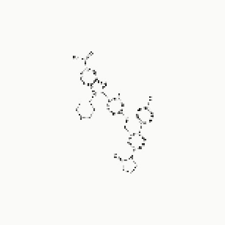 O=C(O)c1ccc2c(c1)nc(-c1ccc(OCc3cc(N4CCCC4=O)ccc3-c3ccc(Cl)cc3)cc1F)n2C1CCSCC1